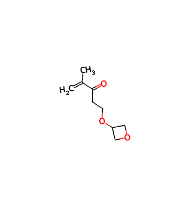 C=C(C)C(=O)CCOC1COC1